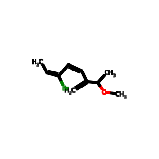 C=C(/C=C\C(Br)=C/C)C(C)OC